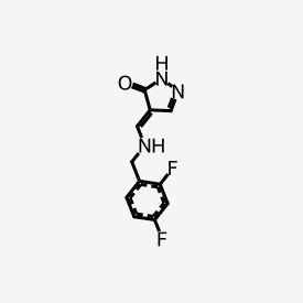 O=C1NN=C/C1=C\NCc1ccc(F)cc1F